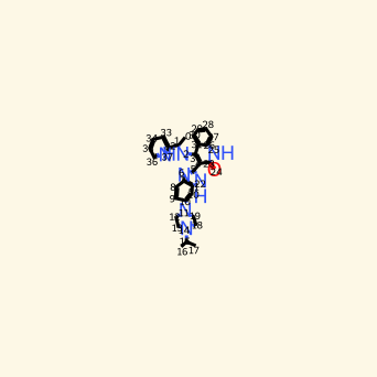 CC(Nc1c(-c2nc3ccc(N4CCN(C(C)C)CC4)cc3[nH]2)c(=O)[nH]c2ccccc12)c1ccccn1